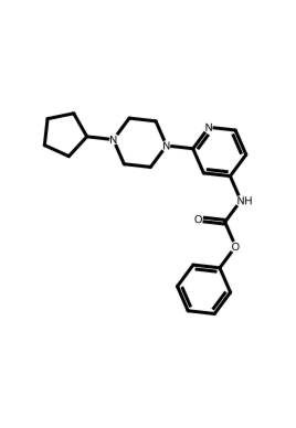 O=C(Nc1ccnc(N2CCN(C3CCCC3)CC2)c1)Oc1ccccc1